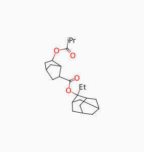 CCC1(OC(=O)C2CC3CC(OC(=O)C(C)C)C2C3)C2CC3CC(C2)CC1C3